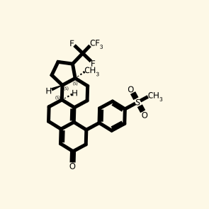 C[C@]12CCC3=C4C(=CC(=O)CC4c4ccc(S(C)(=O)=O)cc4)CC[C@H]3[C@@H]1CCC2C(F)(F)C(F)(F)F